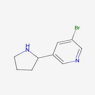 Brc1cncc(C2CCCN2)c1